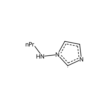 CCCNn1[c]ncc1